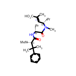 CN[C@H](C(=O)N[C@@H](C(=O)N(C)[C@H](/C=C(\C)C(=O)O)C(C)C)C(C)C)C(C)(C)c1ccccc1